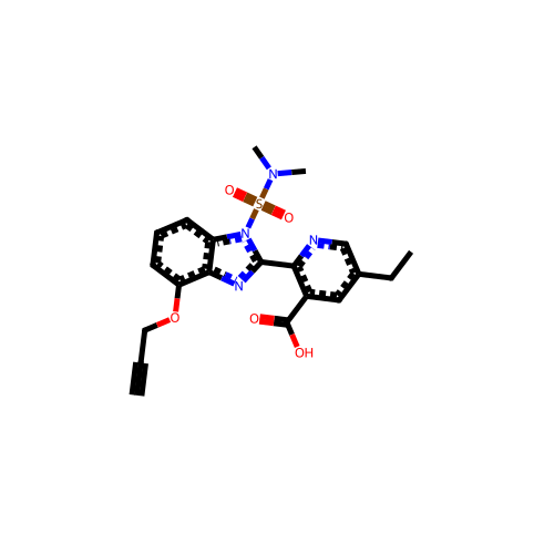 C#CCOc1cccc2c1nc(-c1ncc(CC)cc1C(=O)O)n2S(=O)(=O)N(C)C